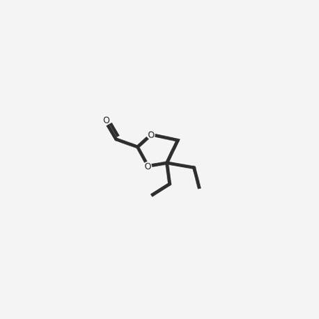 CCC1(CC)COC(C=O)O1